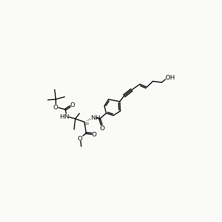 COC(=O)[C@@H](NC(=O)c1ccc(C#CC=CCCO)cc1)C(C)(C)NC(=O)OC(C)(C)C